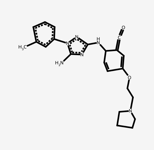 Cc1cccc(-n2nc(NC3C=CC(OCCN4CCCC4)=CC3=C=O)nc2N)c1